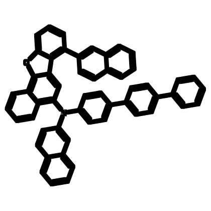 c1ccc(-c2ccc(-c3ccc(N(c4ccc5ccccc5c4)c4cc5c(oc6cccc(-c7ccc8ccccc8c7)c65)c5ccccc45)cc3)cc2)cc1